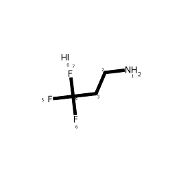 I.NCCC(F)(F)F